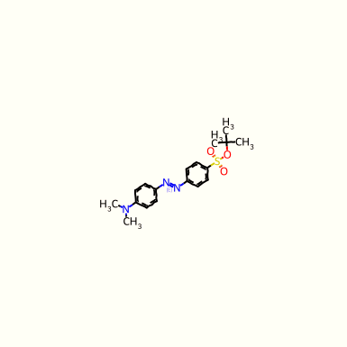 CN(C)c1ccc(/N=N/c2ccc(S(=O)(=O)OC(C)(C)C)cc2)cc1